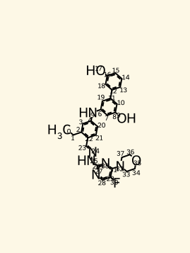 CCc1cc(Nc2cc(O)cc(-c3cccc(O)c3)c2)ccc1/C=N/Nc1ncc(F)c(N2CCOCC2)n1